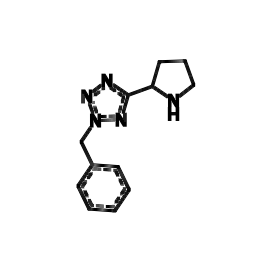 c1ccc(Cn2nnc(C3CCCN3)n2)cc1